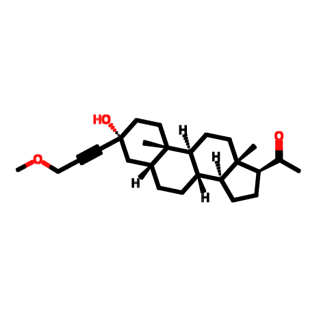 COCC#C[C@@]1(O)CC[C@@]2(C)[C@H](CC[C@@H]3[C@@H]2CC[C@]2(C)[C@@H](C(C)=O)CC[C@@H]32)C1